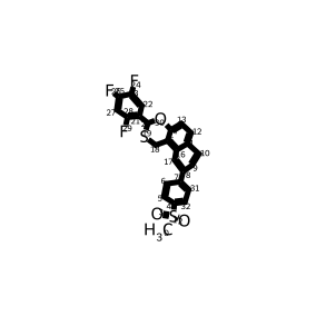 CS(=O)(=O)c1ccc(-c2ccc3ccc4c(c3c2)CSC(c2cc(F)c(F)cc2F)O4)cc1